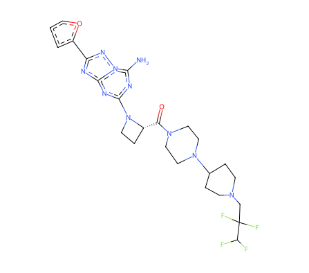 Nc1nc(N2CC[C@H]2C(=O)N2CCN(C3CCN(CC(F)(F)C(F)F)CC3)CC2)nc2nc(-c3ccco3)nn12